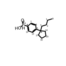 CCCCC1(c2ccc([PH](=O)O)cc2)CCCC1